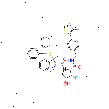 Cc1ncsc1-c1ccc(CNC(=O)[C@@H]2[C@@H](F)[C@@H](O)CN2C(=O)[C@@H](N)C(C)(C)SC(c2ccccc2)(c2ccccc2)c2ccccc2)cc1